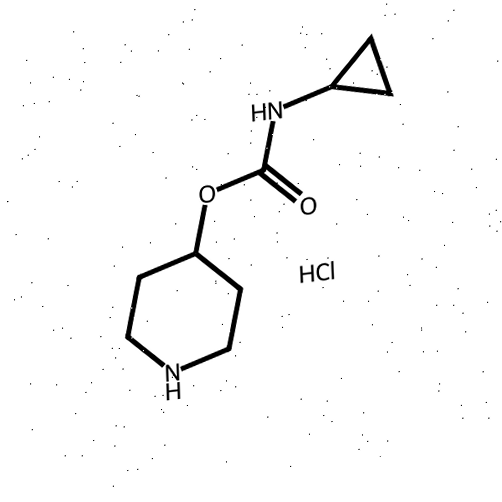 Cl.O=C(NC1CC1)OC1CCNCC1